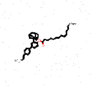 CCCCC/C=C/C/C=C\CCCCCCCC(=O)Oc1ccc(-c2ccc(/C=C/C(=O)O)cc2)cc1C12CC3CC(CC(C3)C1)C2